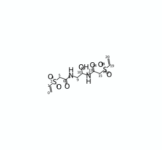 C=CS(=O)(=O)CC(=O)NCC(O)NC(=O)CS(=O)(=O)C=C